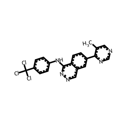 Cc1cncnc1-c1ccc2c(Nc3ccc(C(Cl)(Cl)Cl)cc3)nncc2c1